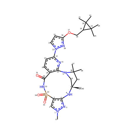 Cn1cc2c(n1)N[C@@H]1CN(c3nc(-n4ccc(OCC5C(C)(C)C5(C)C)n4)ccc3C(=O)NS2(=O)=O)C(C)(C)C1